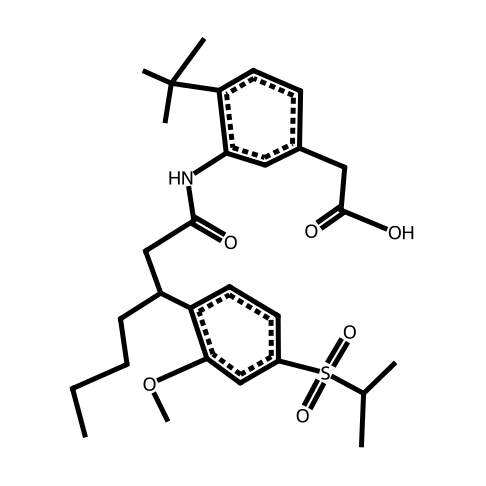 CCCCC(CC(=O)Nc1cc(CC(=O)O)ccc1C(C)(C)C)c1ccc(S(=O)(=O)C(C)C)cc1OC